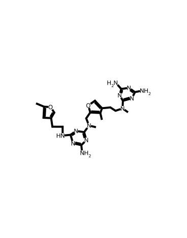 Cc1cc(CCNc2nc(N)nc(N(C)Cc3occ(CCN(C)c4nc(N)nc(N)n4)c3C)n2)co1